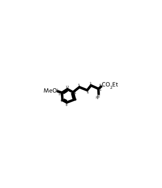 CCOC(=O)C(F)CCCc1cccc(OC)c1